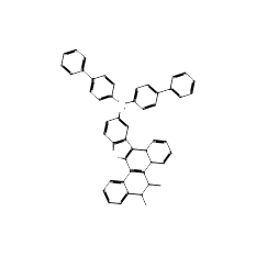 CC1C2=C(c3ccccc3C1C)c1oc3ccc(N(c4ccc(-c5ccccc5)cc4)c4ccc(-c5ccccc5)cc4)cc3c1C1C=CC=CC21